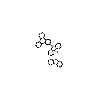 C1=CC2[C@H](C=C1c1cccc3c1Cc1ccccc1-3)c1ccccc1N2c1ccc2c3ccccc3c3ccccc3c2c1